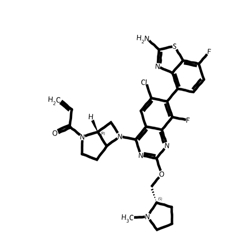 C=CC(=O)N1CCC2[C@H]1CN2c1nc(OC[C@@H]2CCCN2C)nc2c(F)c(-c3ccc(F)c4sc(N)nc34)c(Cl)cc12